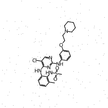 Cc1cccc(Nc2nc(Nc3cccc(OCCN4CCCCC4)c3)ncc2Cl)c1NS(C)(=O)=O